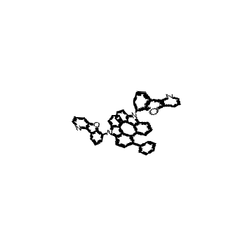 c1ccc(-c2ccc3c(c2-c2cccc4c2c2ccccc2n4-c2cccc4c2oc2cccnc24)c2ccccc2n3-c2cccc3c2oc2cccnc23)cc1